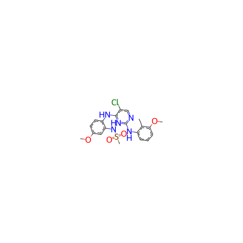 COc1ccc(Nc2nc(Nc3cccc(OC)c3C)ncc2Cl)c(NS(C)(=O)=O)c1